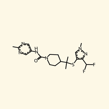 Cc1ncc(NC(=O)N2CCC(C(C)(C)Sc3cn(C)nc3C(F)F)CC2)cn1